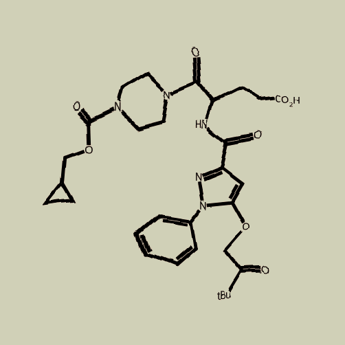 CC(C)(C)C(=O)COc1cc(C(=O)NC(CCC(=O)O)C(=O)N2CCN(C(=O)OCC3CC3)CC2)nn1-c1ccccc1